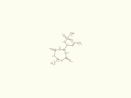 CC=CC(OS(=O)(=O)O)B1OC(=O)CN(C)CC(=O)O1